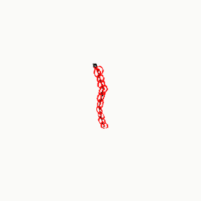 COCCOCCOCCOCCOCCOCCOCCOCCOCCOC(=O)C1CC2C=CC1C2